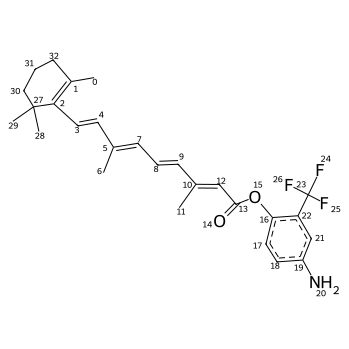 CC1=C(/C=C/C(C)=C/C=C/C(C)=C/C(=O)Oc2ccc(N)cc2C(F)(F)F)C(C)(C)CCC1